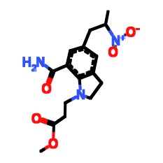 COC(=O)CCN1CCc2cc(CC(C)[N+](=O)[O-])cc(C(N)=O)c21